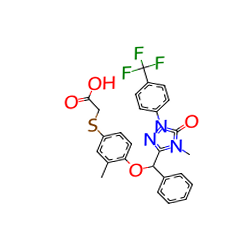 Cc1cc(SCC(=O)O)ccc1OC(c1ccccc1)c1nn(-c2ccc(C(F)(F)F)cc2)c(=O)n1C